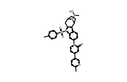 CB(O)N1C2CCC1c1c(n(S(=O)(=O)c3ccc(C)cc3)c3cc(-n4ccc(-c5ccc(C)nc5)cc4=O)ccc13)C2